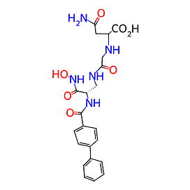 NC(=O)CC(NCC(=O)NC[C@H](NC(=O)c1ccc(-c2ccccc2)cc1)C(=O)NO)C(=O)O